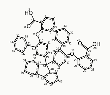 O=C(O)c1ccccc1Oc1ccc(C2(c3ccc(Oc4ccccc4C(=O)O)c(-c4ccccc4)c3)c3ccccc3-c3ccccc32)cc1-c1ccccc1